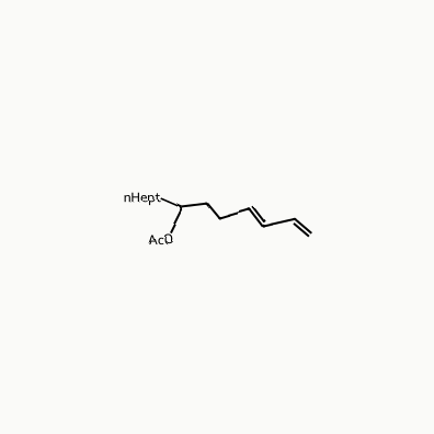 C=CC=CCCC(CCCCCCC)OC(C)=O